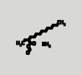 CCCCCCCCCCCC(CC)C(=O)OC=O.N